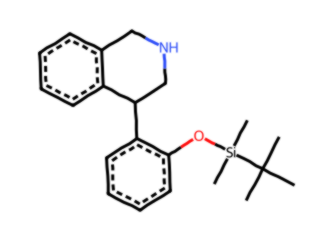 CC(C)(C)[Si](C)(C)Oc1ccccc1C1CNCc2ccccc21